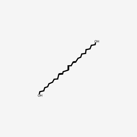 OCCCCCCCC/C=C/C/C=C/C/C=C/CCCCCCCCO